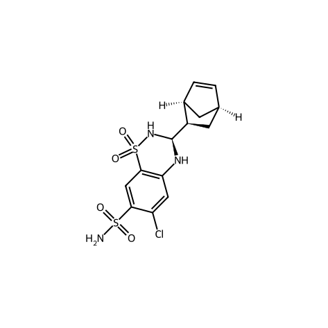 NS(=O)(=O)c1cc2c(cc1Cl)N[C@H]([C@@H]1C[C@@H]3C=C[C@H]1C3)NS2(=O)=O